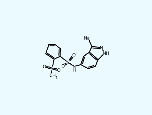 CS(=O)(=O)c1ccccc1S(=O)(=O)Nc1ccc2[nH]n[c]([Na])c2c1